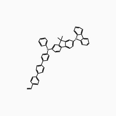 C=Cc1ccc(-c2ccc(-c3ccc(N(c4ccccc4)c4ccc5c(c4)C(C)(C)c4cc(-n6c7ccccc7c7ccccc76)ccc4-5)cc3)cc2)cc1